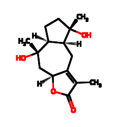 CC1=C2C[C@H]3[C@H](CC[C@]3(C)O)[C@@](C)(O)C[C@@H]2OC1=O